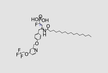 CCCCCCCCCCCCCCCC(=O)N[C@H](/C=C(\F)P(=O)(O)O)Cc1ccc(OCc2cc(OCC(F)(F)F)ccn2)cc1